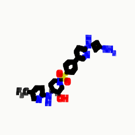 N[C@H]1C[C@H](Nc2ccc(-c3ccc(S(=O)(=O)N4CC[C@@H](Nc5ccc(C(F)(F)F)cn5)[C@@H](O)C4)cc3)cn2)C1